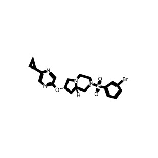 O=S(=O)(c1cccc(Br)c1)N1CCN2C[C@@H](Oc3cnc(C4CC4)cn3)C[C@H]2C1